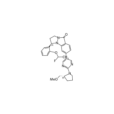 COC[C@H]1CCCN1c1ncc(-c2ccc3c(=O)n4n(c3c2)[C@@H](c2ccccc2OC(C)F)CC4)cn1